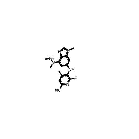 CPN(C)c1cc(Nc2c(C)cc(C#N)nc2F)cc2c1ncn2C